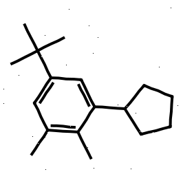 Cc1cc(C(C)(C)C)cc(C2CCCC2)c1C